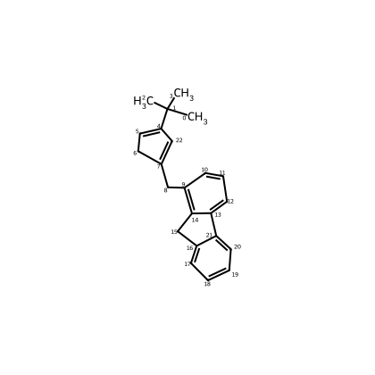 CC(C)(C)C1=CCC(Cc2cccc3c2Cc2ccccc2-3)=C1